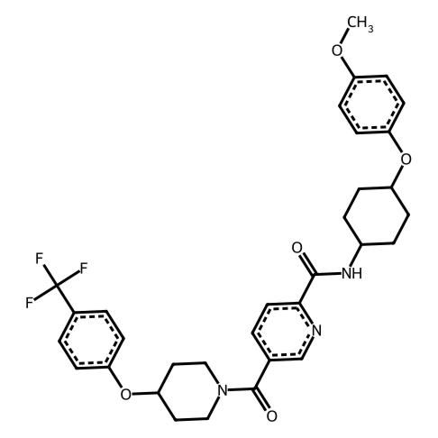 COc1ccc(OC2CCC(NC(=O)c3ccc(C(=O)N4CCC(Oc5ccc(C(F)(F)F)cc5)CC4)cn3)CC2)cc1